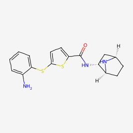 Nc1ccccc1Sc1ccc(C(=O)N[C@@H]2C[C@H]3CC[C@@H]2N3)s1